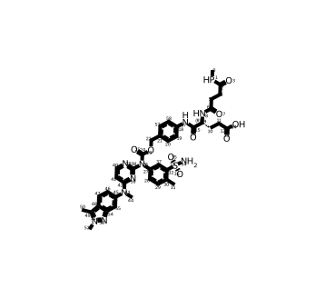 CPC(=O)CCC(=O)N[C@H](CCC(=O)O)C(=O)Nc1ccc(COC(=O)N(c2ccc(C)c(S(N)(=O)=O)c2)c2nccc(N(C)c3ccc4c(C)n(C)nc4c3)n2)cc1